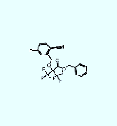 N#Cc1ccc(F)cc1COC(C(=O)OCc1ccccc1)(C(F)(F)F)C(F)(F)F